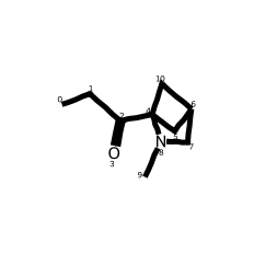 CCC(=O)C12CC(CN1C)C2